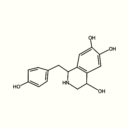 Oc1ccc(CC2NCC(O)c3cc(O)c(O)cc32)cc1